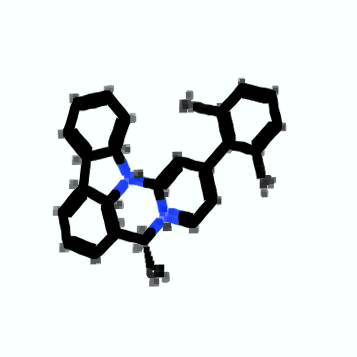 CC(C)c1cccc(C(C)C)c1-c1cc[n+]2c(c1)-n1c3ccccc3c3cccc(c31)[C@H]2C